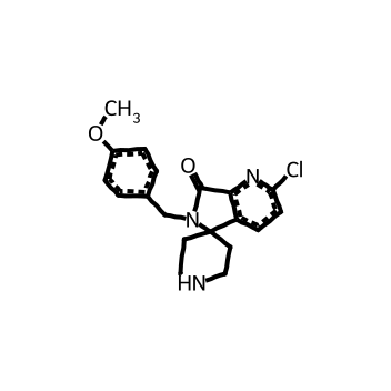 COc1ccc(CN2C(=O)c3nc(Cl)ccc3C23CCNCC3)cc1